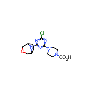 O=C(O)N1CCN(c2nc(Cl)nc(N3C4CCC3COC4)n2)CC1